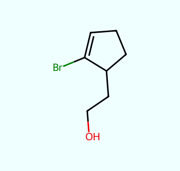 OCCC1CCC=C1Br